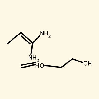 C=C.CC=C(N)N.OCCO